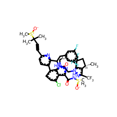 C[C@H]1CC(F)(F)c2c1c(C(F)(F)F)nn2CC(=O)NC(Cc1cc(F)cc(F)c1)c1nc(C#CC(C)(C)[S+](C)[O-])ccc1-c1ccc(Cl)c2c(C(=O)N[S+](C)[O-])nn(CC(F)(F)F)c12